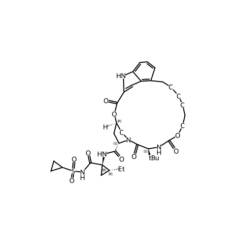 CC[C@@H]1C[C@]1(NC(=O)[C@@H]1C[C@@H]2CN1C(=O)[C@H](C(C)(C)C)NC(=O)OCCCCCCc1cccc3[nH]c(cc13)C(=O)O2)C(=O)NS(=O)(=O)C1CC1